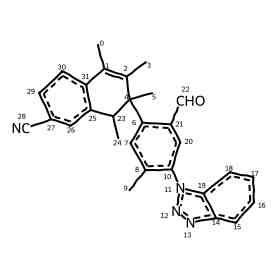 CC1=C(C)C(C)(c2cc(C)c(-n3nnc4ccccc43)cc2C=O)C(C)c2cc(C#N)ccc21